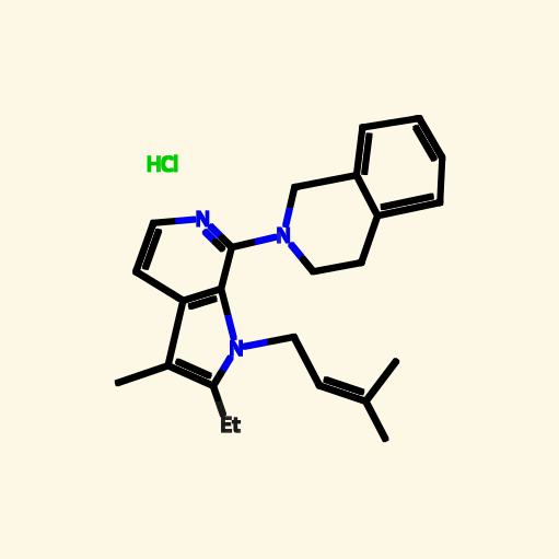 CCc1c(C)c2ccnc(N3CCc4ccccc4C3)c2n1CC=C(C)C.Cl